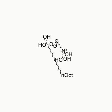 CCCCCCCCC=CCCCCCCCCCCCC(=O)C(O)CCO.C[N+](C)(CCCP(=O)=O)C(O)CC(O)O